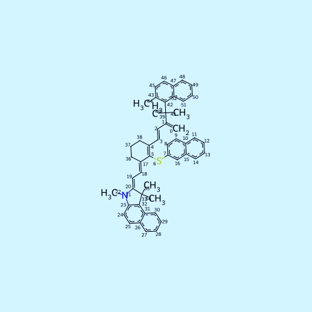 C=C(/C=C/C1=C(Sc2ccc3ccccc3c2)C(=C/C=C2/N(C)c3ccc4ccccc4c3C2(C)C)/CCC1)C(C)(C)c1c(C)ccc2ccccc12